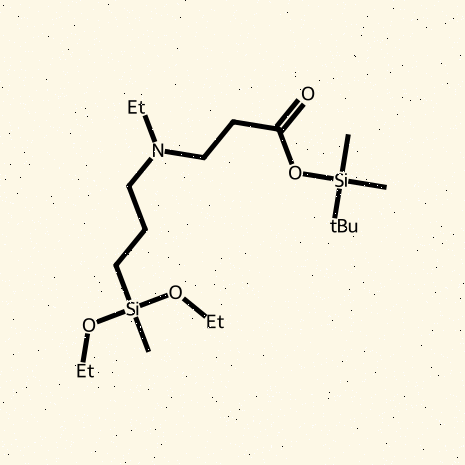 CCO[Si](C)(CCCN(CC)CCC(=O)O[Si](C)(C)C(C)(C)C)OCC